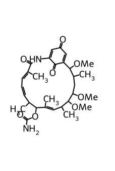 COC1CC(C)C(OC)C2=CC(=O)C=C(NC(=O)/C(C)=C/C=C\C(C)C(OC(N)=O)/C(C)=C/C(C)C1OC)C2=O